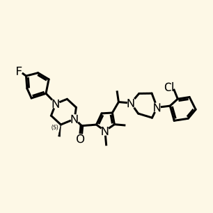 Cc1c(C(C)N2CCN(c3ccccc3Cl)CC2)cc(C(=O)N2CCN(c3ccc(F)cc3)C[C@@H]2C)n1C